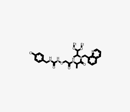 CCOC(OCC)C(C)N(Cc1cccc2cccnc12)C(=O)C(C)NC(=O)CONC(=O)NCc1ccc(Cl)cc1